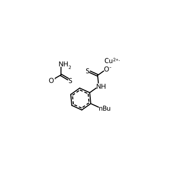 CCCCc1ccccc1NC([O-])=S.NC([O-])=S.[Cu+2]